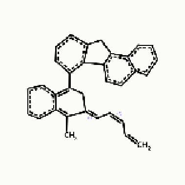 C=C/C=C\C=C1/CC(c2cccc3c2-c2ccc4ccccc4c2C3)=c2ccccc2=C1C